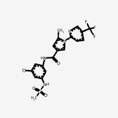 Cc1cc(C(=O)Nc2cc(Cl)cc(NS(C)(=O)=O)c2)cn1-c1ccc(C(F)(F)F)cn1